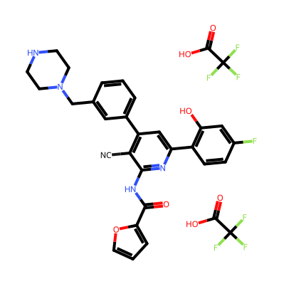 N#Cc1c(-c2cccc(CN3CCNCC3)c2)cc(-c2ccc(F)cc2O)nc1NC(=O)c1ccco1.O=C(O)C(F)(F)F.O=C(O)C(F)(F)F